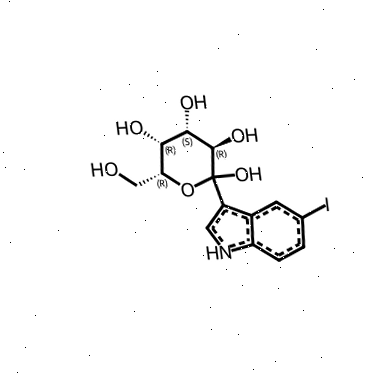 OC[C@H]1OC(O)(c2c[nH]c3ccc(I)cc23)[C@H](O)[C@@H](O)[C@H]1O